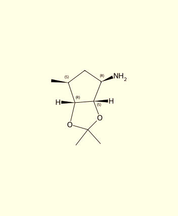 C[C@H]1C[C@@H](N)[C@@H]2OC(C)(C)O[C@@H]21